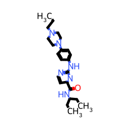 CCCN1CCN(c2ccc(Nc3nccc(C(=O)NC(CC)CC)n3)cc2)CC1